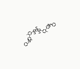 Cc1ccc(-c2cc3sc4cc(-c5ccc(C)c(-c6cc[n+](Cc7ccccc7)cc6)c5)sc4c3s2)cc1-c1cc[n+](Cc2ccccc2)cc1